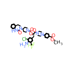 CCOC(=O)c1ccc(N2CCN(C(=O)[C@@H](Cc3cc(Cl)c(N)c(C(F)(F)F)c3)OC(=O)N3CCC(N4CCc5ccccc5NC4=O)CC3)CC2)cc1